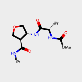 COC(=O)N[C@H](C(=O)N[C@H]1COC[C@@H]1C(=O)NC(C)C)C(C)C